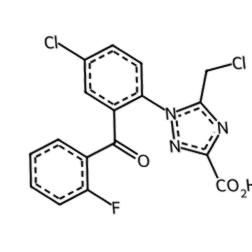 O=C(O)c1nc(CCl)n(-c2ccc(Cl)cc2C(=O)c2ccccc2F)n1